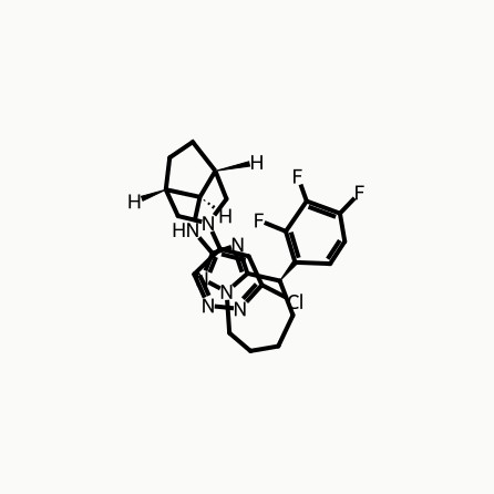 Fc1ccc([C@H]2CCCCn3nc(N[C@@H]4[C@@H]5CC[C@H]4CN(c4cnnc(Cl)c4)C5)nc32)c(F)c1F